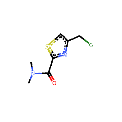 CN(C)C(=O)c1nc(CCl)cs1